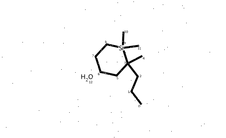 CCCC1(C)CCCC[Si]1(C)C.O